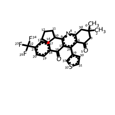 CC1(C)CC(=O)c2c(nc(C3CCCC3)c(C(=O)c3ccc(C(F)(F)F)cc3)c2-c2ccsc2)C1